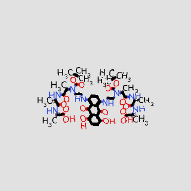 C[C@H](NC(=O)[C@H](C)NC(=O)[C@H](C)N(CCNc1ccc(NCCN(C(=O)OC(C)(C)C)[C@@H](C)C(=O)N[C@@H](C)C(=O)N[C@@H](C)C(=O)O)c2c1C(=O)c1c(O)ccc(O)c1C2=O)C(=O)OC(C)(C)C)C(=O)O